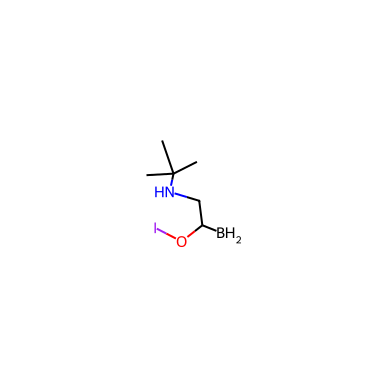 BC(CNC(C)(C)C)OI